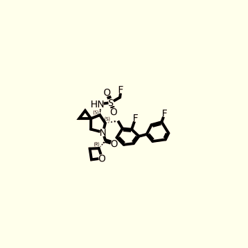 O=C([C@H]1CCO1)N1CC2(CC2)[C@H](NS(=O)(=O)CF)[C@@H]1Cc1cccc(-c2cccc(F)c2)c1F